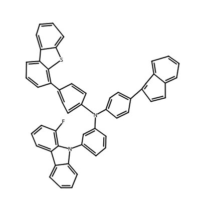 Fc1cccc2c3ccccc3n(-c3cccc(N(c4ccc(-c5ccc6ccccc6c5)cc4)c4ccc(-c5cccc6c5sc5ccccc56)cc4)c3)c12